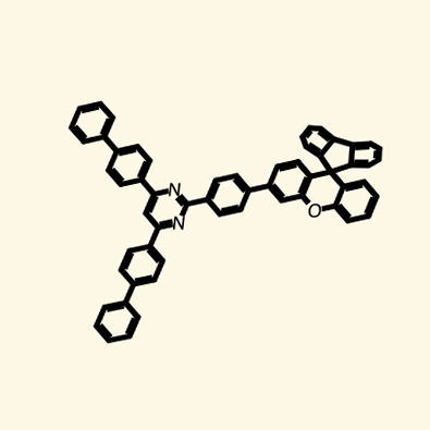 c1ccc(-c2ccc(-c3cc(-c4ccc(-c5ccccc5)cc4)nc(-c4ccc(-c5ccc6c(c5)Oc5ccccc5C65c6ccccc6-c6ccccc65)cc4)n3)cc2)cc1